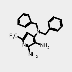 Nc1nc(C(F)(F)F)cc(N(Cc2ccccc2)Cc2ccccc2)c1N